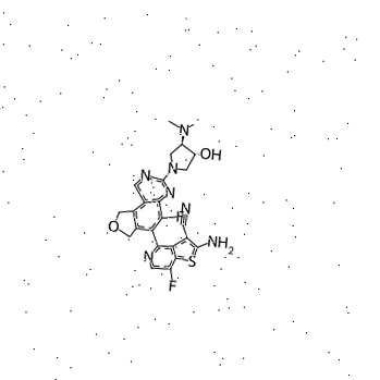 CN(C)[C@@H]1CN(c2ncc3c4c(c(-c5ncc(F)c6sc(N)c(C#N)c56)c(F)c3n2)COC4)C[C@H]1O